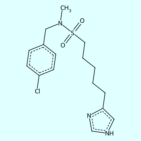 CN(Cc1ccc(Cl)cc1)S(=O)(=O)CCCCCc1c[nH]cn1